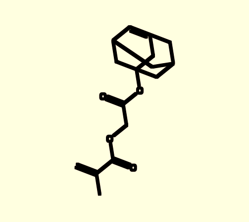 C=C(C)C(=O)OCC(=O)OC12CC3=CC(CC(C3)C1)C2